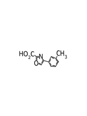 Cc1cccc(-c2coc(C(=O)O)n2)c1